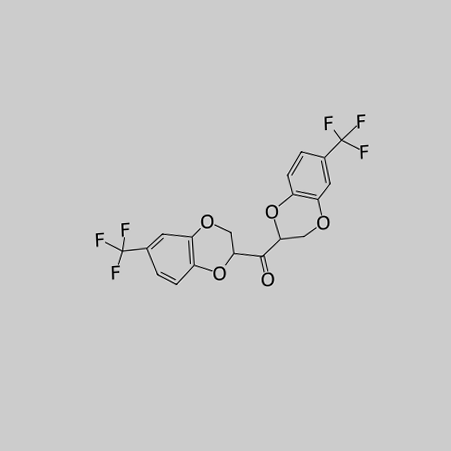 O=C(C1COc2cc(C(F)(F)F)ccc2O1)C1COc2cc(C(F)(F)F)ccc2O1